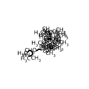 CC1(C)CC(OCCC[Si](C)(O[Si](C)(C)O[Si](C)(C)O[Si](C)(C)O[Si](C)(C)O[Si](C)(C)C)O[Si](C)(C)O[Si](C)(C)O[Si](C)(C)O[Si](C)(C)O[Si](C)(C)O[Si](C)(C)C)CC(C)(C)N1